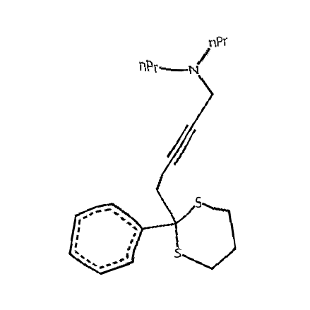 CCCN(CC#CCC1(c2ccccc2)SCCCS1)CCC